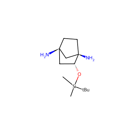 CC(C)(C)[Si](C)(C)O[C@@H]1C[C@]2(N)CC[C@@]1(N)C2